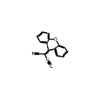 [C-]#[N+]C(C#N)=C1c2ccccc2Oc2ccccc21